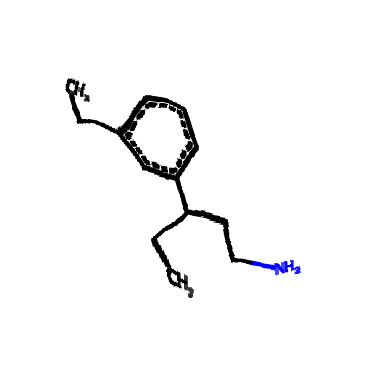 CCc1cccc(C(CC)CCN)c1